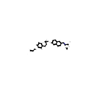 CC(C)=CCOc1c(C)c(C)c2c(c1C)CCC(C)(COc1ccc3cc(/C=C4\SC(=O)NC4=O)ccc3c1)O2